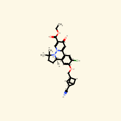 CCOC(=O)c1cn2c(cc1=O)-c1cc(Cl)c(OCC34CC(C#N)C(C3)C4)cc1[C@H]1CCC(C)(C)N12